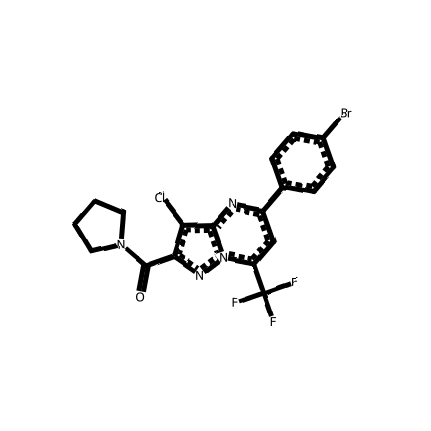 O=C(c1nn2c(C(F)(F)F)cc(-c3ccc(Br)cc3)nc2c1Cl)N1CCCC1